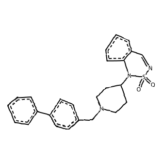 O=S1(=O)N=Cc2ccccc2N1C1CCN(Cc2ccc(-c3ccccc3)cc2)CC1